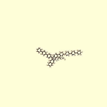 CC1(C)c2cc(-c3ccc(-c4ccc(-c5ccccc5)cc4)cc3)ccc2-c2ccc(N(c3ccc(-c4ccc(-c5ccccc5)cc4)cc3)c3ccc4ccccc4c3)cc21